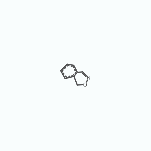 C1=NOCc2ccccc21